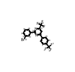 FC(F)(F)c1ccc(-c2cc(C(F)(F)F)nc(-c3cccc(Br)c3)n2)cc1